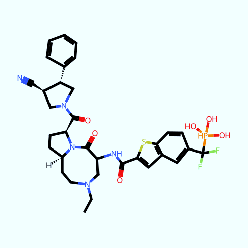 CCN1CC[C@H]2CC[C@@H](C(=O)N3C[C@@H](C#N)[C@H](c4ccccc4)C3)N2C(=O)C(NC(=O)c2cc3cc(C(F)(F)[PH](O)(O)O)ccc3s2)C1